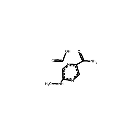 CNc1cnc(C(N)=O)cn1.O=CO